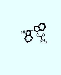 NC(=O)O[C@@H]1c2ccccc2C[C@H]1c1c[nH]c2ccccc12